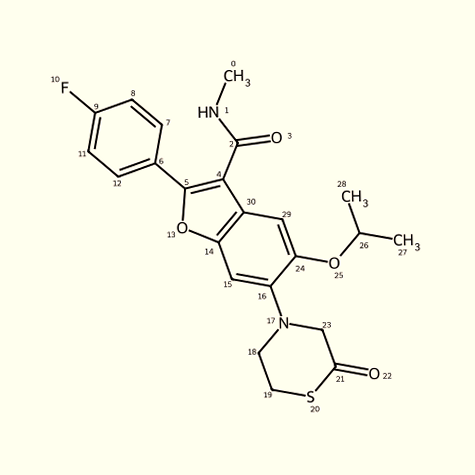 CNC(=O)c1c(-c2ccc(F)cc2)oc2cc(N3CCSC(=O)C3)c(OC(C)C)cc12